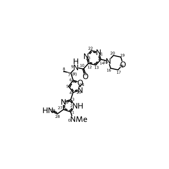 CNc1[nH]c(-c2cc([C@@H](C)NC(=O)c3cc(N4CCOCC4)ncn3)on2)nc1C=N